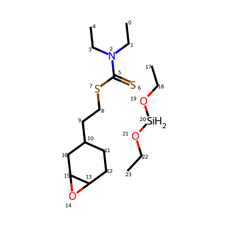 CCN(CC)C(=S)SCCC1CCC2OC2C1.CCO[SiH2]OCC